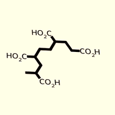 CC(CC(CCC(CCC(=O)O)C(=O)O)C(=O)O)C(=O)O